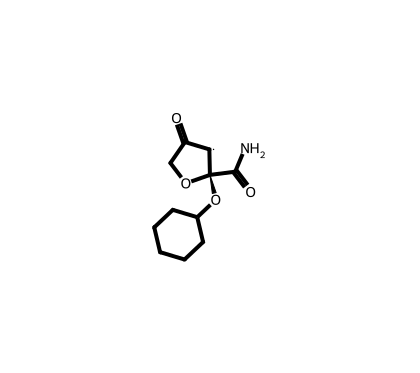 NC(=O)[C@@]1(OC2CCCCC2)[CH]C(=O)CO1